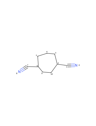 N#CC1CCCC(C#N)CC1